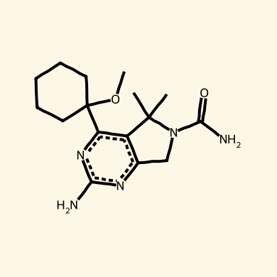 COC1(c2nc(N)nc3c2C(C)(C)N(C(N)=O)C3)CCCCC1